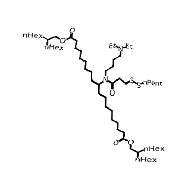 CCCCCCC(CCCCCC)COC(=O)CCCCCCCCC(CCCCCCCCC(=O)OCC(CCCCCC)CCCCCC)N(CCCCN(CC)CC)C(=O)CCSSCCCCC